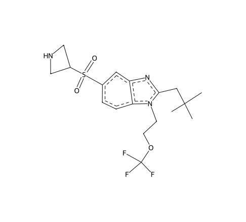 CC(C)(C)Cc1nc2cc(S(=O)(=O)C3CNC3)ccc2n1CCOC(F)(F)F